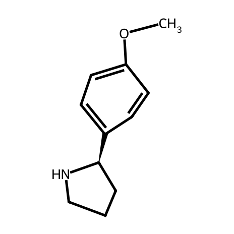 COc1ccc([C@H]2CCCN2)cc1